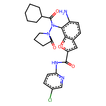 Nc1ccc2cc(C(=O)Nc3ccc(Cl)cn3)oc2c1N(C(=O)C1CCCCC1)N1CCCC1=O